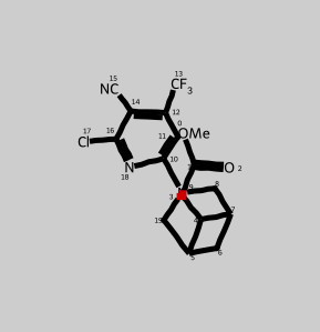 COC(=O)CC1C2CC1CN(c1cc(C(F)(F)F)c(C#N)c(Cl)n1)C2